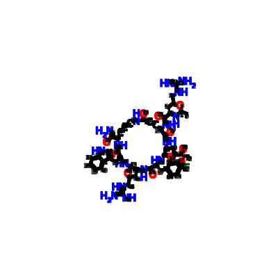 CC(=O)N[C@@H](CCCNC(=N)N)C(=O)N[C@H]1CCC(=O)NCCCC(C(N)=O)NC(=O)[C@H](Cc2c[nH]c3ccccc23)NC(=O)[C@H](CCCNC(=N)N)NC(=O)[C@@H](Cc2ccc(F)cc2)NC(=O)[C@H](CCS(C)(=O)=O)NC1=O